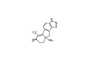 CCCCC12CCC(=O)C(C(F)(F)F)=C1c1ccc3[nH]ncc3c1C2